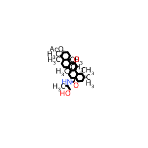 CC(=O)O[C@H]1CC[C@@]2(C)C(CC[C@]3(C)C2C(=O)C=C2C4[C@@H](C)[C@H](C)CC[C@]4(C(=O)NC(C)CO)CC[C@]23C)C1(C)C